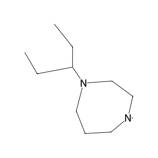 CCC(CC)N1CCC[N]CC1